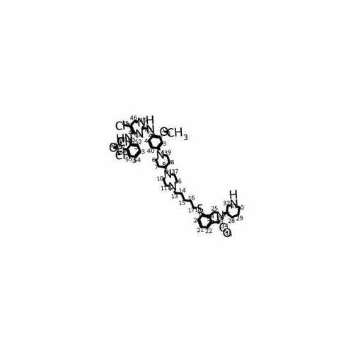 COc1cc(N2CCC(N3CCN(CCCCCSc4cccc5c4CN(C4CCCNC4)C5=C=O)CC3)CC2)ccc1Nc1ncc(Cl)c(Nc2ccccc2P(C)(C)=O)n1